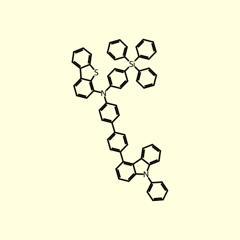 c1ccc(-n2c3ccccc3c3c(-c4ccc(-c5ccc(N(c6ccc([Si](c7ccccc7)(c7ccccc7)c7ccccc7)cc6)c6cccc7c6sc6ccccc67)cc5)cc4)cccc32)cc1